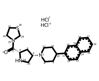 Cl.Cl.O=C([C@@H]1C[C@H](N2CCC(c3ccc4ccccc4c3)CC2)CN1)N1CCSC1